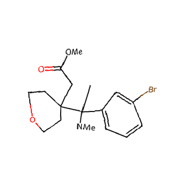 CNC(C)(c1cccc(Br)c1)C1(CC(=O)OC)CCOCC1